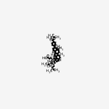 C=C(CN(CCN(C)C)C(=O)OC(C)(C)C)[C@@]1(C(=O)NCCC(=O)O)CC[C@@H]2CC[C@]3(C)[C@H](CC[C@@H]4[C@@]5(C)CC=C(c6ccc(C(=O)OC(C)(C)C)cc6)C(C)(C)[C@@H]5CC[C@]43C)[C@H]21